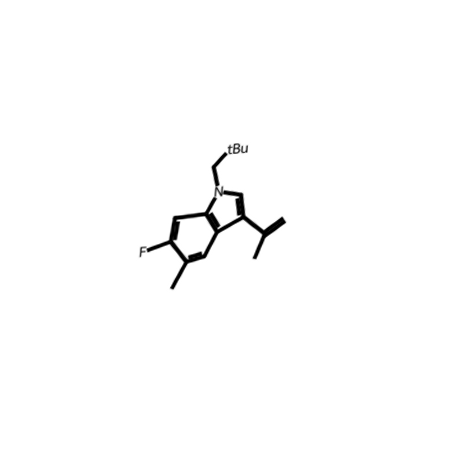 C=C(C)c1cn(CC(C)(C)C)c2cc(F)c(C)cc12